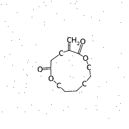 C=C1CCC(=O)OCCCCCCOC1=O